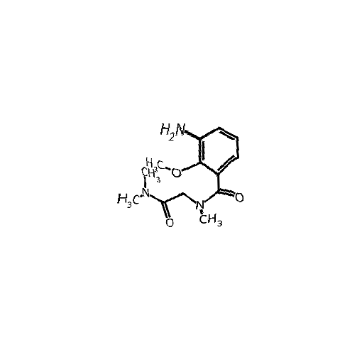 COc1c(N)cccc1C(=O)N(C)CC(=O)N(C)C